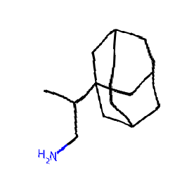 CC(CN)C12CC3CC(CC(C3)C1)C2